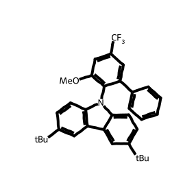 COc1cc(C(F)(F)F)cc(-c2ccccc2)c1-n1c2ccc(C(C)(C)C)cc2c2cc(C(C)(C)C)ccc21